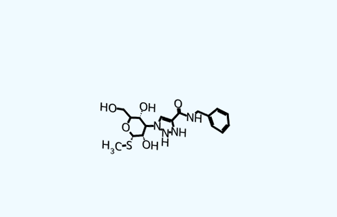 CS[C@@H]1OC(CO)[C@H](O)C(N2C=C(C(=O)NCc3ccccc3)NN2)[C@@H]1O